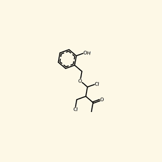 CC(=O)C(CCl)C(Cl)OCc1ccccc1O